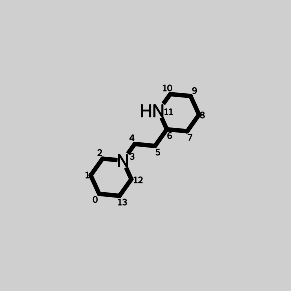 C1CCN(CCC2CCCCN2)CC1